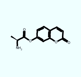 C[C@H](N)C(=O)Oc1ccc2ccc(=O)oc2c1